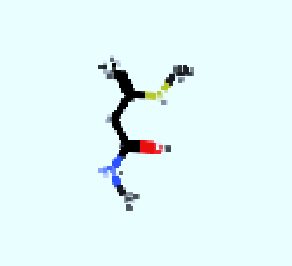 C=C(CC(=O)NC(C)C)SC(C)(C)C